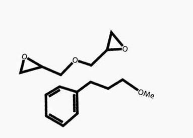 C(OCC1CO1)C1CO1.COCCCc1ccccc1